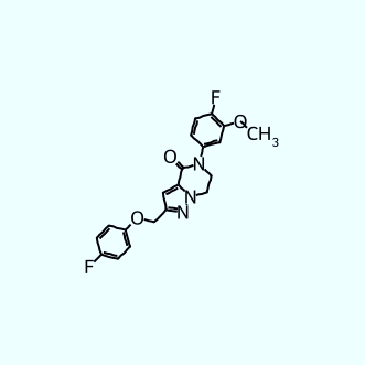 COc1cc(N2CCn3nc(COc4ccc(F)cc4)cc3C2=O)ccc1F